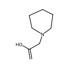 C=C(O)CN1CCCCC1